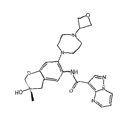 C[C@@]1(O)COc2cc(N3CCN(C4COC4)CC3)c(NC(=O)c3cnn4cccnc34)cc2C1